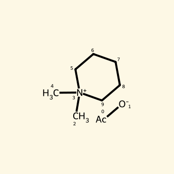 CC(=O)[O-].C[N+]1(C)CCCCC1